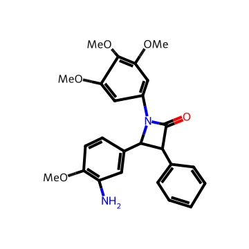 COc1ccc(C2C(c3ccccc3)C(=O)N2c2cc(OC)c(OC)c(OC)c2)cc1N